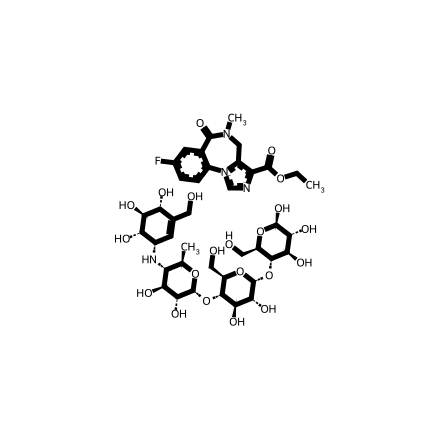 CCOC(=O)c1ncn2c1CN(C)C(=O)c1cc(F)ccc1-2.C[C@H]1O[C@H](O[C@H]2[C@H](O)[C@@H](O)[C@@H](O[C@H]3[C@H](O)[C@@H](O)[C@H](O)O[C@@H]3CO)O[C@@H]2CO)[C@H](O)[C@@H](O)[C@@H]1N[C@H]1C=C(CO)[C@@H](O)[C@H](O)[C@H]1O